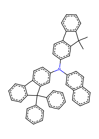 CC1(C)c2ccccc2-c2ccc(N(c3ccc4c(c3)C(c3ccccc3)(c3ccccc3)c3ccccc3-4)c3ccc4ccccc4c3)cc21